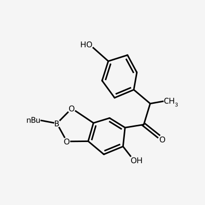 CCCCB1Oc2cc(O)c(C(=O)C(C)c3ccc(O)cc3)cc2O1